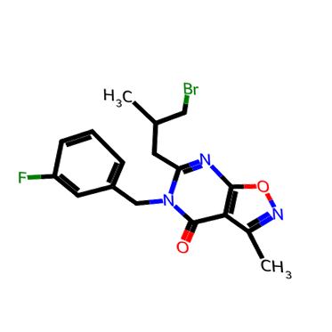 Cc1noc2nc(CC(C)CBr)n(Cc3cccc(F)c3)c(=O)c12